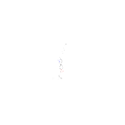 CCCCCCCCCCc1ccc(-c2ccc(OCCC[C@@H](C)CC)cc2)cn1